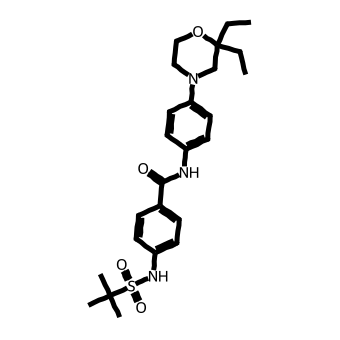 CCC1(CC)CN(c2ccc(NC(=O)c3ccc(NS(=O)(=O)C(C)(C)C)cc3)cc2)CCO1